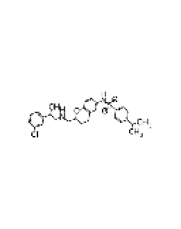 CC(C)c1ccc(S(=O)(=O)Nc2ccc3c(c2)CCC(CNCC(O)c2cccc(Cl)c2)O3)cc1